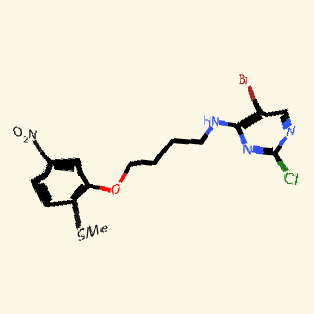 CSc1ccc([N+](=O)[O-])cc1OCCCCNc1nc(Cl)ncc1Br